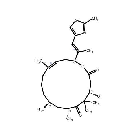 C/C1=C/C[C@@H](/C(C)=C/c2csc(C)n2)OC(=O)C[C@H](O)C(C)(C)C(=O)[C@H](C)C[C@@H](C)CCC1